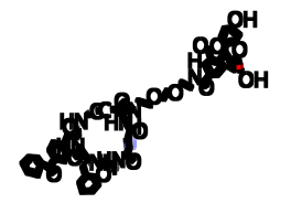 C[C@@H]1NC(=O)/C=C/C(=O)NC(C(=O)NCCOCCOCCNC(=O)c2ccc3c(c2)C(=O)OC32c3ccc(O)cc3Oc3cc(O)ccc32)CCCCNC(=O)C(Cc2ccc(C(=O)c3ccccc3)cc2)NC(=O)[C@H](CC2CCCCC2)NC1=O